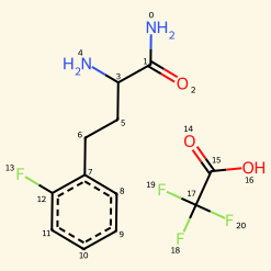 NC(=O)C(N)CCc1ccccc1F.O=C(O)C(F)(F)F